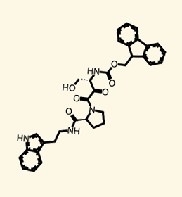 O=C(N[C@@H](CO)C(=O)C(=O)N1CCC[C@H]1C(=O)NCCc1c[nH]c2ccccc12)OCC1c2ccccc2-c2ccccc21